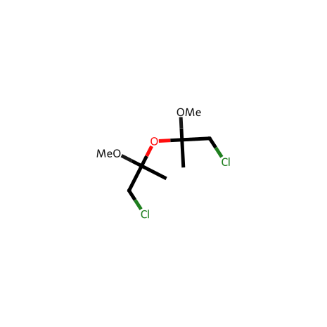 COC(C)(CCl)OC(C)(CCl)OC